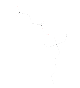 CCCCCC(CC)(CC)SOC(=O)CCC(=O)O